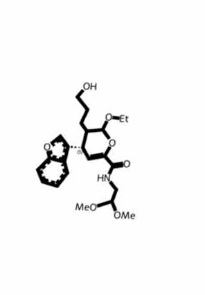 CCOC1OC(C(=O)NCC(OC)OC)=C[C@H](c2coc3ccccc23)C1CCCO